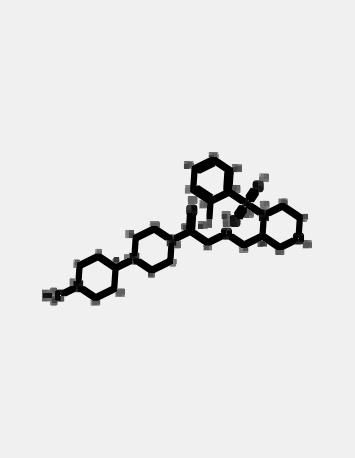 CN1CCC(N2CCN(C(=O)COCC3COCCN3S(=O)(=O)c3ccccc3I)CC2)CC1